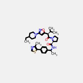 CCC1CCN(c2cc([C@H](C(=O)N3CCC[C@H]3C(=O)N[C@@H](C)c3ccc(-c4scnc4C)cc3)C(C)C)on2)CC1